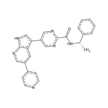 C[C@H](NC(=O)c1ncc(-c2c[nH]c3ncc(-c4ccncc4)cc23)cn1)c1ccccc1